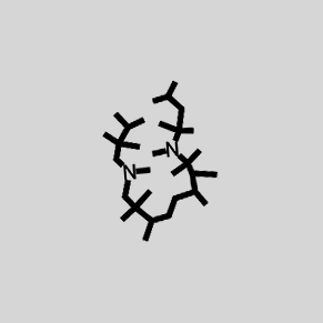 CC(C)CC(C)(C)N(C)C(C)(C)C(C)C(C)CCC(C)C(C)(C)CN(C)CC(C)(C)C(C)C